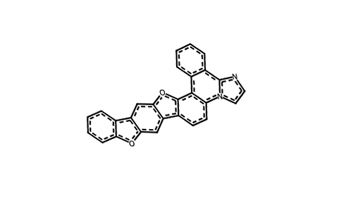 c1ccc2c(c1)oc1cc3c(cc12)oc1c3ccc2c1c1ccccc1c1nccn21